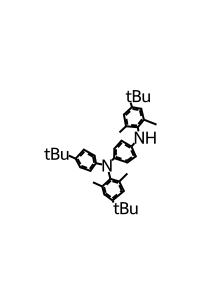 Cc1cc(C(C)(C)C)cc(C)c1Nc1ccc(N(c2ccc(C(C)(C)C)cc2)c2c(C)cc(C(C)(C)C)cc2C)cc1